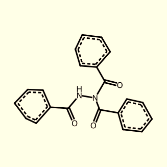 O=C(NN(C(=O)c1ccccc1)C(=O)c1ccccc1)c1ccccc1